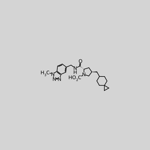 Cn1nnc2cc(CNC(=O)[C@@H]3C[C@@H](CC4CCC5(CC4)CC5)CN3C(=O)O)ccc21